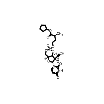 C#C[C@@]1(O)[C@@H]2OP(=O)(OCC[C@H](C)C(=O)OC3CCCC3)OC[C@H]2O[C@H]1n1ccc(=O)[nH]c1=O